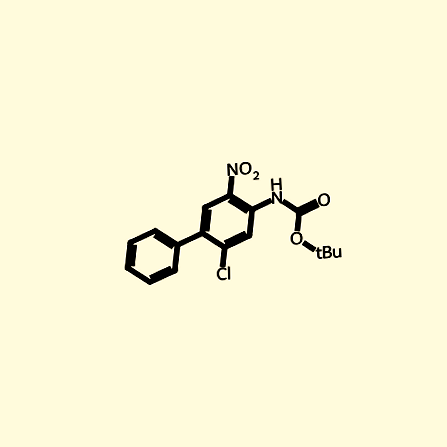 CC(C)(C)OC(=O)Nc1cc(Cl)c(-c2ccccc2)cc1[N+](=O)[O-]